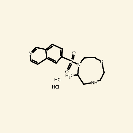 CC1CNCCOCCN1S(=O)(=O)c1ccc2cnccc2c1.Cl.Cl